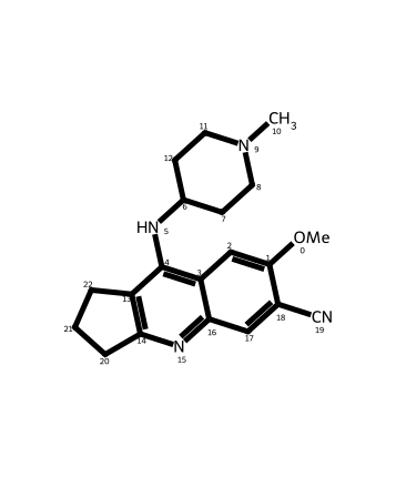 COc1cc2c(NC3CCN(C)CC3)c3c(nc2cc1C#N)CCC3